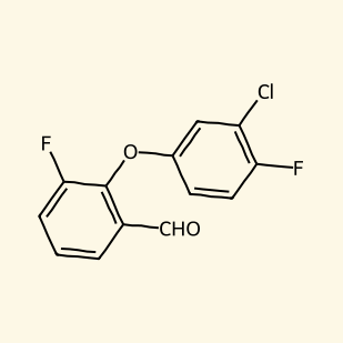 O=Cc1cccc(F)c1Oc1ccc(F)c(Cl)c1